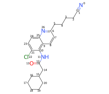 N#CCCCCc1ccc2c(NC(=O)CC3CCCCC3)c(Cl)ccc2n1